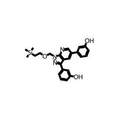 C[Si](C)(C)CCOCn1nc(-c2cccc(O)c2)c2cc(-c3cccc(O)c3)cnc21